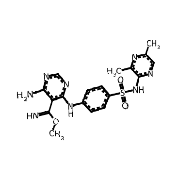 COC(=N)c1c(N)ncnc1Nc1ccc(S(=O)(=O)Nc2ncc(C)nc2C)cc1